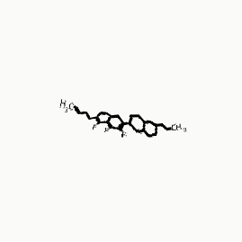 CC=CCCc1ccc2cc(C3CCC4CC(CCC)CCC4C3)c(F)c(F)c2c1F